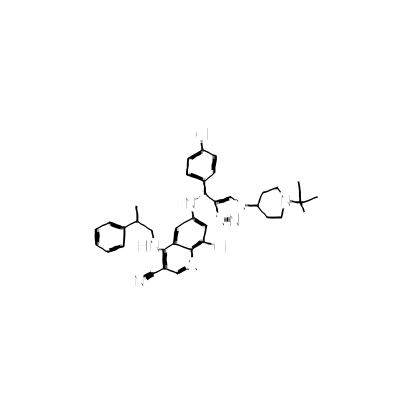 CC(CNc1c(C#N)cnc2c(Cl)cc(N[C@@H](c3ccc(Cl)cc3)c3cn(C4CCN(C(C)(C)C)CC4)nn3)cc12)c1ccccc1